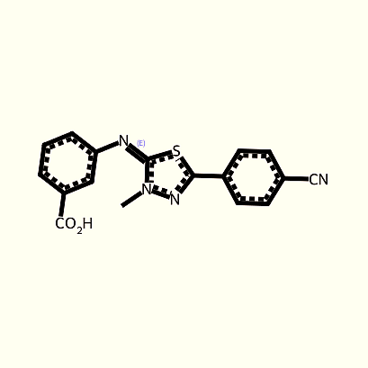 Cn1nc(-c2ccc(C#N)cc2)s/c1=N/c1cccc(C(=O)O)c1